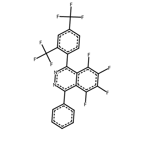 Fc1c(F)c(F)c2c(-c3ccc(C(F)(F)F)cc3C(F)(F)F)nnc(-c3ccccc3)c2c1F